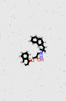 CCC(OC[C@H](O)CNC(C)(C)Cc1ccc2ccccc2c1)c1ccccc1C